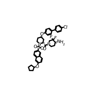 N[C@@H]1CCN(C(=O)[C@H]2C[C@H](Oc3ccc(-c4ccc(Cl)cc4)cc3)CCN2S(=O)(=O)c2ccc3cc(OC4CCCC4)ccc3c2)CC1(F)F